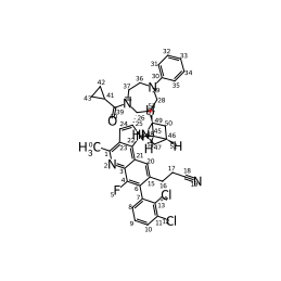 Cc1nc2c(F)c(-c3cccc(Cl)c3Cl)c(CCC#N)cc2c2c1cc([C@H]1CCN(c3ccccc3)CCN1C(=O)C1CC1)n2[C@H]1[C@H]2CN[C@@H]1C2